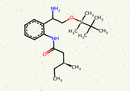 CC[C@H](C)CC(=O)Nc1ccccc1C(N)CO[Si](C)(C)C(C)(C)C